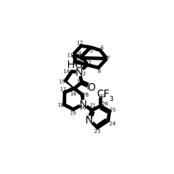 O=C1N(C23CC4CC(C2)C(O)C(C4)C3)CC[C@@]12CCCN(c1ncccc1C(F)(F)F)C2